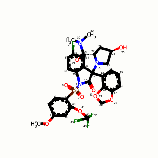 COc1ccc(S(=O)(=O)N2C(=O)C(c3cccc4c3OCO4)(N3C[C@H](O)C[C@H]3C(=O)N(C)C)c3cc(F)ccc32)c(OC(F)(F)F)c1